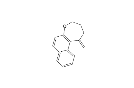 C=C1CCCOc2ccc3ccccc3c21